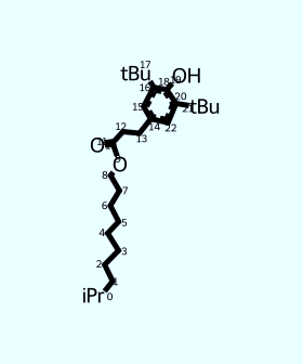 CC(C)CCCCCCCCOC(=O)CCc1cc(C(C)(C)C)c(O)c(C(C)(C)C)c1